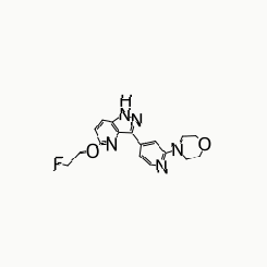 FCCOc1ccc2[nH]nc(-c3ccnc(N4CCOCC4)c3)c2n1